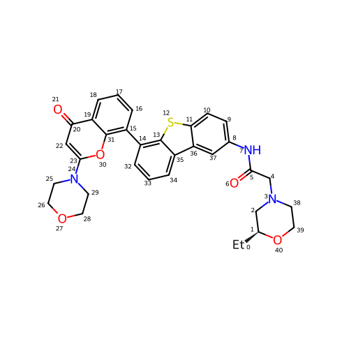 CC[C@H]1CN(CC(=O)Nc2ccc3sc4c(-c5cccc6c(=O)cc(N7CCOCC7)oc56)cccc4c3c2)CCO1